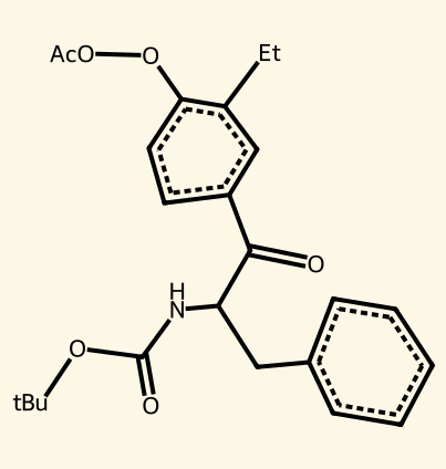 CCc1cc(C(=O)C(Cc2ccccc2)NC(=O)OC(C)(C)C)ccc1OOC(C)=O